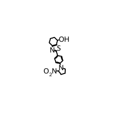 O=[N+]([O-])C1CCCN1c1ccc(-c2nc3c(s2)C(O)CCC3)cc1